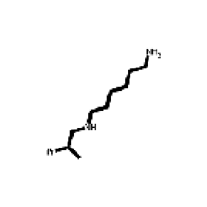 CC(C)C(C)CNCCCCCCN